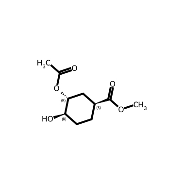 COC(=O)[C@H]1CC[C@@H](O)[C@H](OC(C)=O)C1